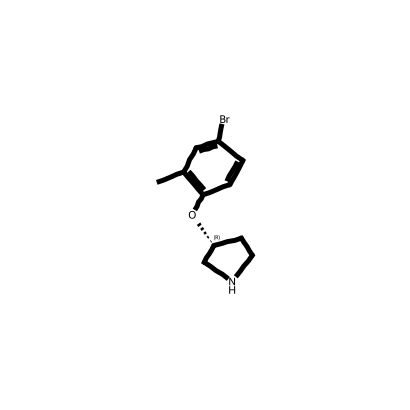 Cc1cc(Br)ccc1O[C@@H]1CCNC1